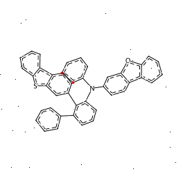 c1ccc(-c2cccc(N(c3ccccc3)c3ccc4c(c3)oc3ccccc34)c2-c2ccc3c(c2)sc2ccccc23)cc1